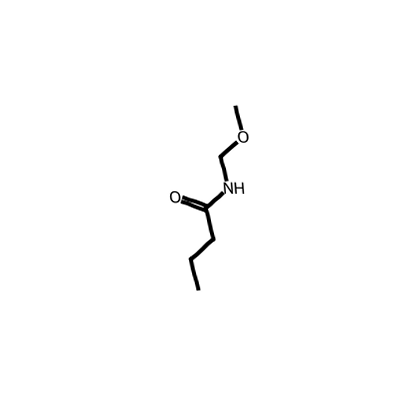 CCCC(=O)NCOC